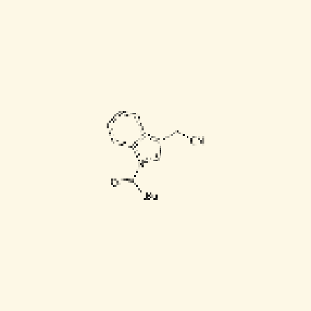 CC(C)(C)C(=O)n1cc(CC#N)c2ccccc21